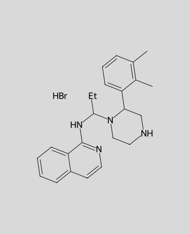 Br.CCC(Nc1nccc2ccccc12)N1CCNCC1c1cccc(C)c1C